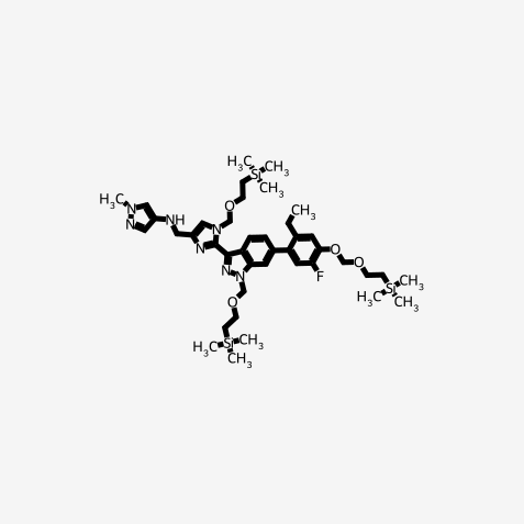 CCc1cc(OCOCC[Si](C)(C)C)c(F)cc1-c1ccc2c(-c3nc(CNc4cnn(C)c4)cn3COCC[Si](C)(C)C)nn(COCC[Si](C)(C)C)c2c1